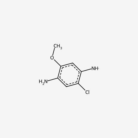 COc1cc([NH])c(Cl)cc1N